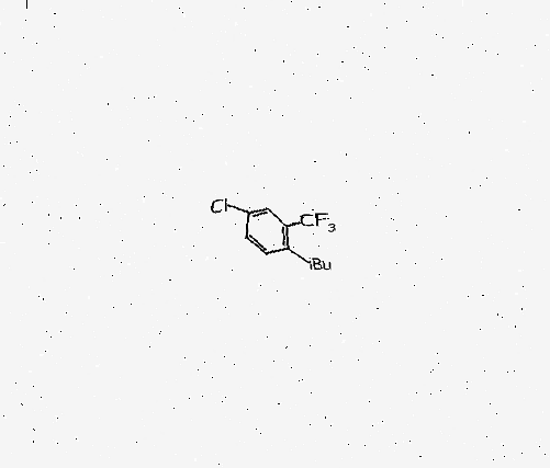 CCC(C)c1ccc(Cl)cc1C(F)(F)F